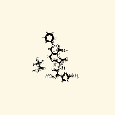 Nc1nc(/C(=N/O)C(=O)NC2C(=O)N3C(C(=O)O)=C(COc4ccccc4)CS[C@H]23)cs1.O=C(O)C(F)(F)F